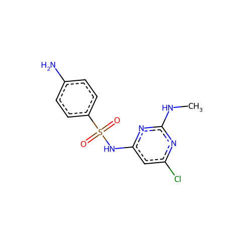 CNc1nc(Cl)cc(NS(=O)(=O)c2ccc(N)cc2)n1